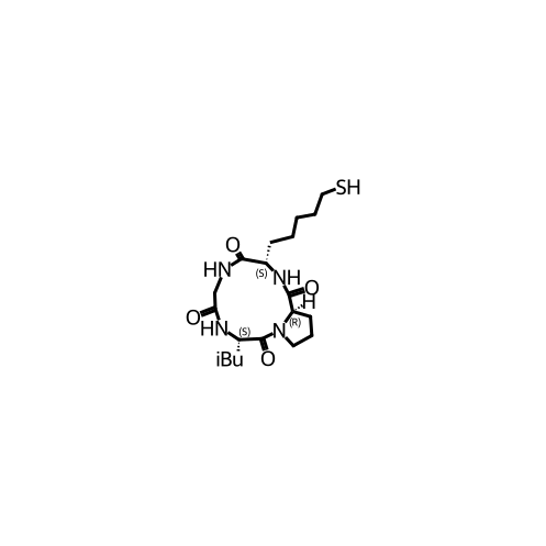 CCC(C)[C@@H]1NC(=O)CNC(=O)[C@H](CCCCCS)NC(=O)[C@H]2CCCN2C1=O